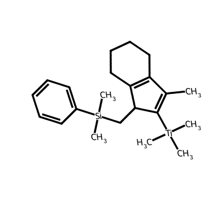 CC1=[C]([Ti]([CH3])([CH3])[CH3])C(C[Si](C)(C)c2ccccc2)C2=C1CCCC2